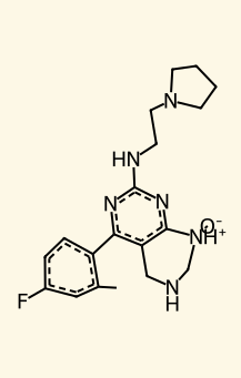 Cc1cc(F)ccc1-c1nc(NCCN2CCCC2)nc2c1CNC[NH+]2[O-]